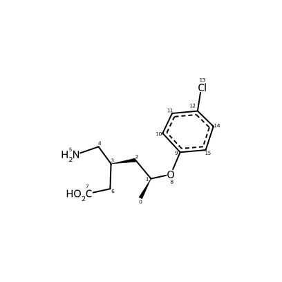 C[C@@H](C[C@H](CN)CC(=O)O)Oc1ccc(Cl)cc1